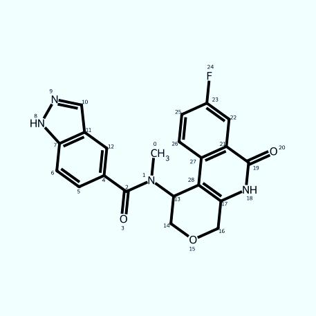 CN(C(=O)c1ccc2[nH]ncc2c1)C1COCc2[nH]c(=O)c3cc(F)ccc3c21